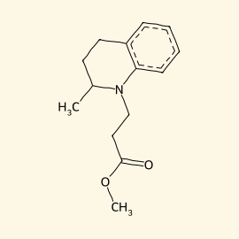 COC(=O)CCN1c2ccccc2CCC1C